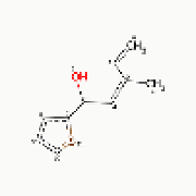 C=CC(C)=CC(O)c1cccs1